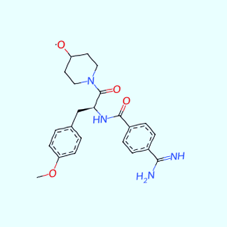 COc1ccc(C[C@H](NC(=O)c2ccc(C(=N)N)cc2)C(=O)N2CCC([O])CC2)cc1